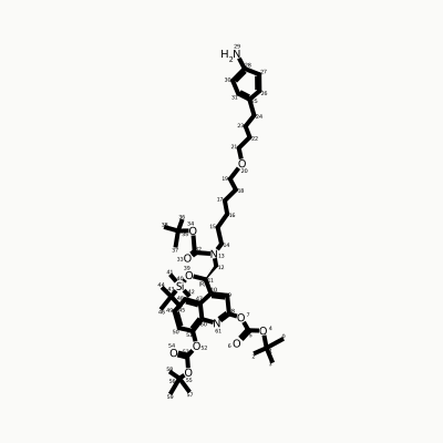 CC(C)(C)OC(=O)Oc1cc([C@H](CN(CCCCCCOCCCCc2ccc(N)cc2)C(=O)OC(C)(C)C)O[Si](C)(C)C(C)(C)C)c2cccc(OC(=O)OC(C)(C)C)c2n1